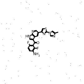 Cc1cn(-c2nc(-c3cnc4[nH]cc(C(=O)c5c(F)ccc(N)c5F)c4c3)cs2)cn1